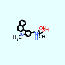 Cn1c2ccc(CNC(C)(CO)CO)cc2c2c3ccccc3ccc21